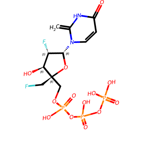 C=C1NC(=O)C=CN1[C@@H]1O[C@](CF)(COP(=O)(O)OP(=O)(O)OP(=O)(O)O)[C@@H](O)[C@@H]1F